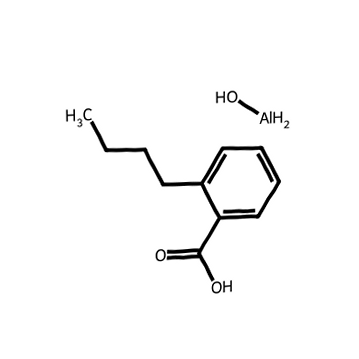 CCCCc1ccccc1C(=O)O.[OH][AlH2]